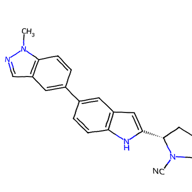 Cn1ncc2cc(-c3ccc4[nH]c([C@@H]5CCCN5C#N)cc4c3)ccc21